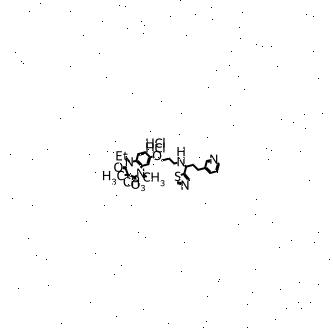 CCN1C(=O)C(C)(C)C(=O)N(C)c2cc(OCCCNC(CCc3cccnc3)c3cncs3)ccc21.Cl.Cl